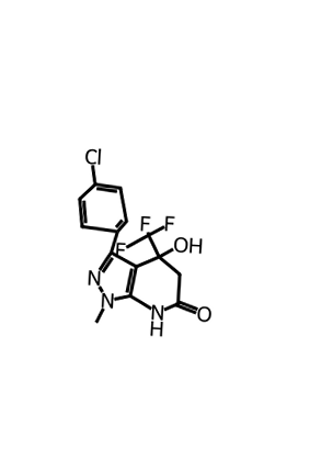 Cn1nc(-c2ccc(Cl)cc2)c2c1NC(=O)CC2(O)C(F)(F)F